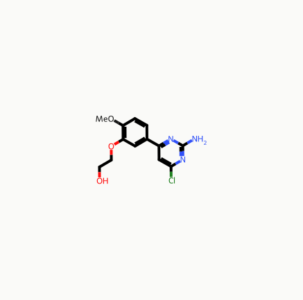 COc1ccc(-c2cc(Cl)nc(N)n2)cc1OCCO